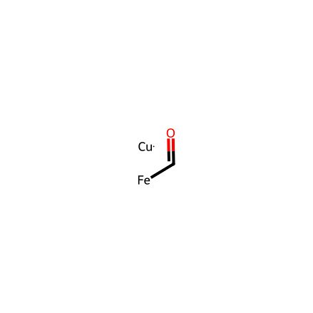 O=[CH][Fe].[Cu]